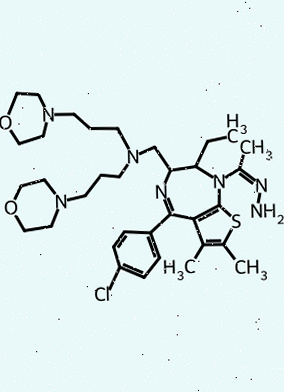 CCC1C(CN(CCCN2CCOCC2)CCCN2CCOCC2)N=C(c2ccc(Cl)cc2)c2c(sc(C)c2C)N1/C(C)=N\N